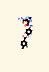 Cc1ccc(C(=O)Nc2ccc(N(C)C(=O)c3nc[nH]c3C(N)=O)cc2)cc1F